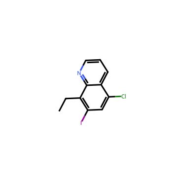 CCc1c(I)cc(Cl)c2cccnc12